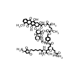 COc1cccc2c1C(=O)c1c(O)c3c(c(O)c1C2=O)C[C@@](O)(C(=O)COC(=O)N(C)CCN(C)C(=O)OCc1ccc(NC(=O)[C@H](CCCNC(N)=O)CC(=O)[C@@H](NC(=O)CCCCCN2C(=O)CC(SC)C2=O)C(C)C)cc1)C[C@@H]3O[C@H]1C[C@H]2[C@H](O[C@@H]3[C@@H](OC)OCCN32)[C@H](C)O1